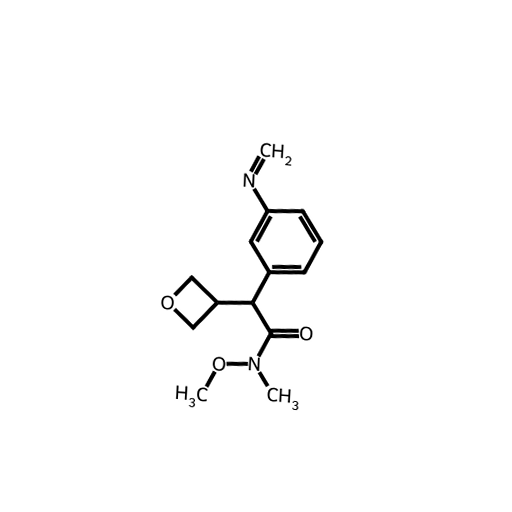 C=Nc1cccc(C(C(=O)N(C)OC)C2COC2)c1